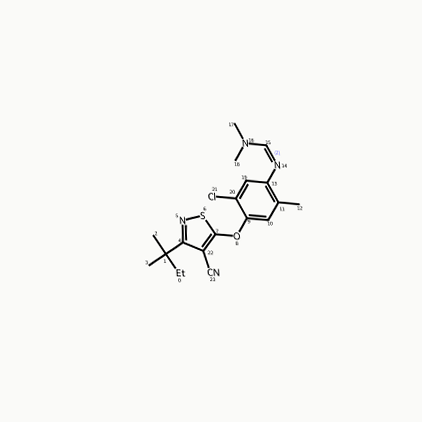 CCC(C)(C)c1nsc(Oc2cc(C)c(/N=C\N(C)C)cc2Cl)c1C#N